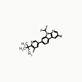 CC(C)(C)c1ncc(-c2ccc3c4cc(F)cnc4n(C(F)F)c3c2)cc1F